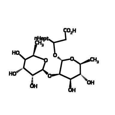 CCCCCCCC(CC(=O)O)O[C@@H]1O[C@@H](C)[C@H](O)[C@@H](O)[C@H]1O[C@@H]1O[C@H](C)C(O)[C@@H](O)[C@H]1O